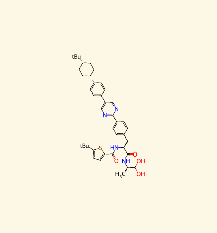 C[C@@H](NC(=O)[C@H](Cc1ccc(-c2ncc(-c3ccc([C@H]4CC[C@@H](C(C)(C)C)CC4)cc3)cn2)cc1)NC(=O)c1ccc(C(C)(C)C)s1)C(O)O